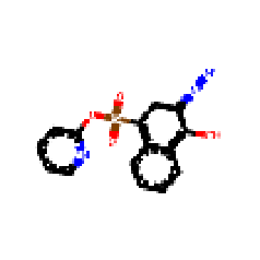 [N-]=[N+]=C1CC(S(=O)(=O)Oc2ccccn2)=c2ccccc2=C1O